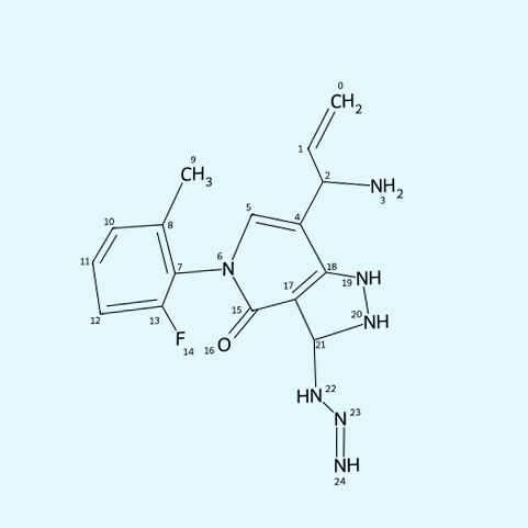 C=CC(N)c1cn(-c2c(C)cccc2F)c(=O)c2c1NNC2NN=N